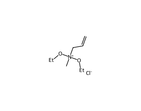 C=CC[N+](C)(OCC)OCC.[Cl-]